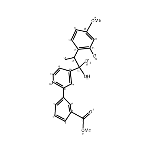 COC(=O)c1cccc(-c2cc(C(O)(C(C)c3ccc(OC)cc3Cl)C(F)(F)F)ccn2)c1